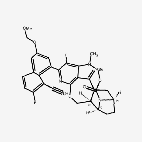 C#Cc1c(F)ccc2cc(OCOC)cc(-c3nc4c5c(nn(C)c5c3F)N3C[C@H]5CC[C@@H]([C@H]3CO4)N5C(=O)OC(C)(C)C)c12